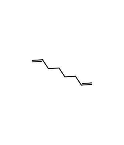 C=[C]CCCC[C]=C